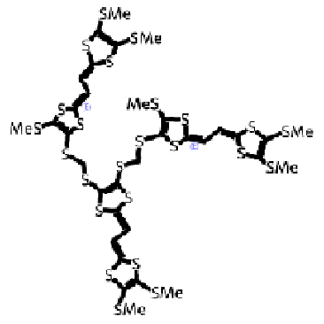 CSC1=C(SC)SC(=CC=C2SC(SCSC3=C(SC)S/C(=C\C=C4SC(SC)=C(SC)S4)S3)=C(SCSC3=C(SC)S/C(=C\C=C4SC(SC)=C(SC)S4)S3)S2)S1